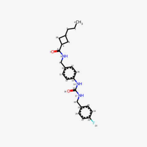 CCCC1CC(C(=O)NCc2ccc(NC(=O)NCc3ccc(F)cc3)cc2)C1